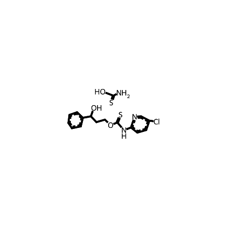 NC(O)=S.OC(CCOC(=S)Nc1ccc(Cl)cn1)c1ccccc1